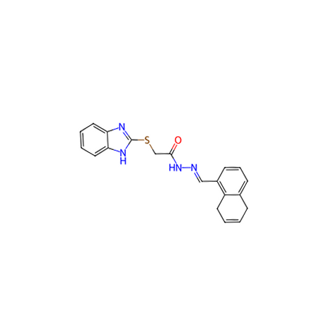 O=C(CSc1nc2ccccc2[nH]1)N/N=C/c1cccc2c1CC=CC2